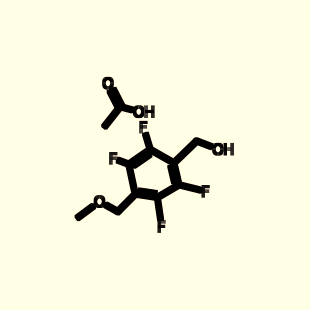 CC(=O)O.COCc1c(F)c(F)c(CO)c(F)c1F